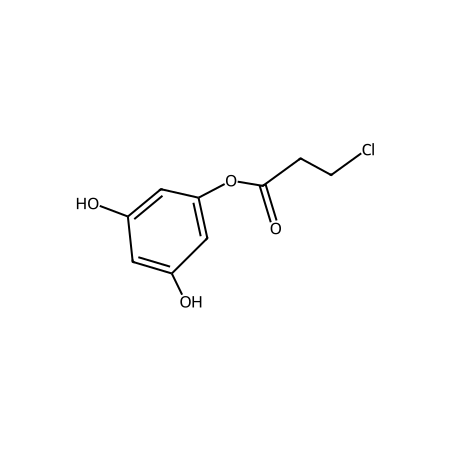 O=C(CCCl)Oc1cc(O)cc(O)c1